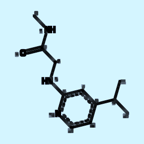 CNC(=O)CNc1cc(C(C)C)ccn1